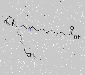 CCCCCCC(C/C=C/CCCCCCCC(=O)O)n1ccnc1